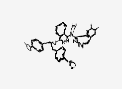 COc1ccc(CN(Cc2ccc(OC)cc2)c2nnc(Nc3nncc4cc(C)c(C)cc34)c3ccccc23)cc1